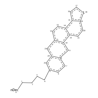 CCCCCCCCCCCCCCc1ccc2cc3c(ccc4c5ccsc5ccc34)cc2c1